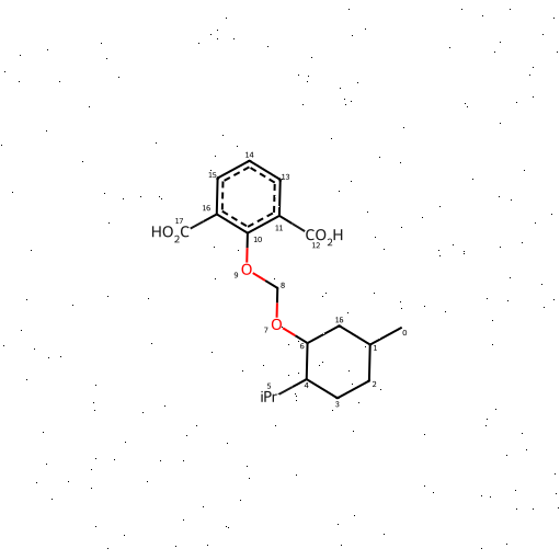 CC1CCC(C(C)C)C(OCOc2c(C(=O)O)cccc2C(=O)O)C1